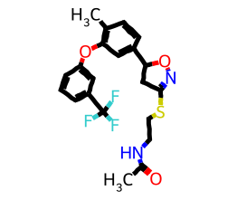 CC(=O)NCCSC1=NOC(c2ccc(C)c(Oc3cccc(C(F)(F)F)c3)c2)C1